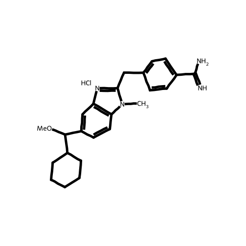 COC(c1ccc2c(c1)nc(Cc1ccc(C(=N)N)cc1)n2C)C1CCCCC1.Cl